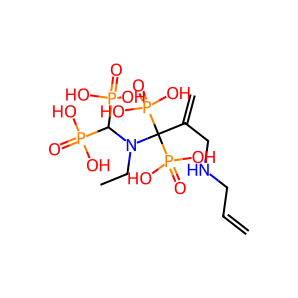 C=CCNCC(=C)C(N(CC)C(P(=O)(O)O)P(=O)(O)O)(P(=O)(O)O)P(=O)(O)O